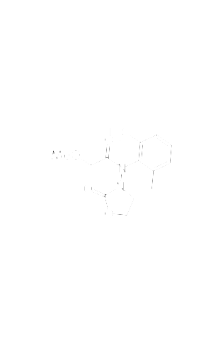 COCC(=O)N(c1c(C)cccc1C(F)(F)F)N1CCOC1=O